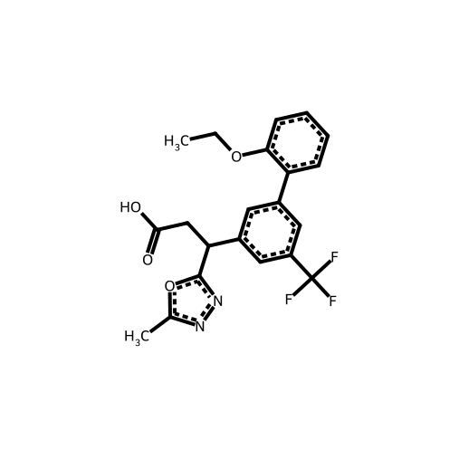 CCOc1ccccc1-c1cc(C(CC(=O)O)c2nnc(C)o2)cc(C(F)(F)F)c1